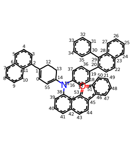 C1=C(c2cccc3ccccc23)CCC(N(c2ccc(-c3ccc4ccccc4c3-c3ccccc3)cc2)c2cccc3ccc4c5ccccc5oc4c23)=C1